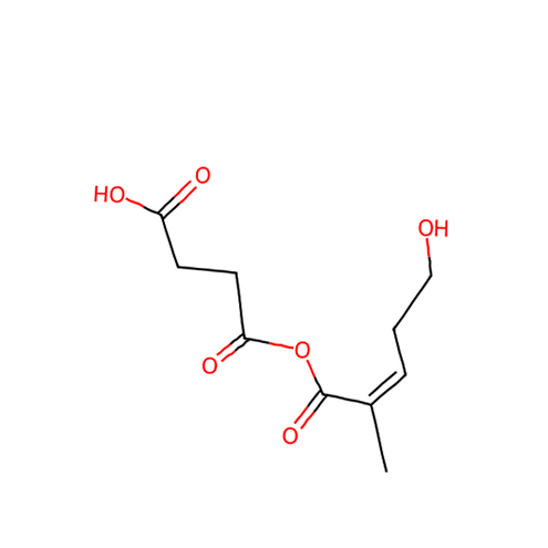 CC(=CCCO)C(=O)OC(=O)CCC(=O)O